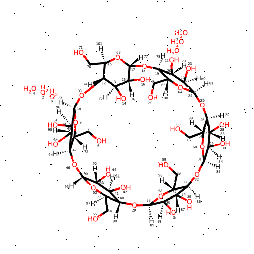 O.O.O.O.O.O.OC[C@H]1O[C@@H]2O[C@H]3[C@H](O)[C@@H](O)[C@@H](O[C@H]4[C@H](O)[C@@H](O)[C@@H](O[C@H]5[C@H](O)[C@@H](O)[C@@H](O[C@H]6[C@H](O)[C@@H](O)[C@@H](O[C@H]7[C@H](O)[C@@H](O)[C@@H](O[C@H]1[C@H](O)[C@H]2O)O[C@@H]7CO)O[C@@H]6CO)O[C@@H]5CO)O[C@@H]4CO)O[C@@H]3CO